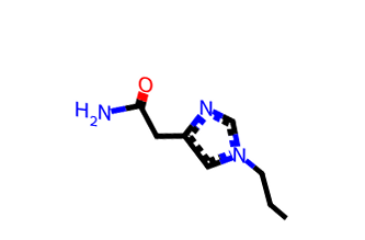 CCCn1cnc(CC(N)=O)c1